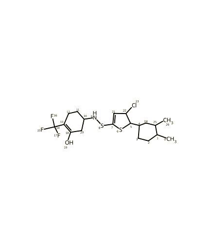 CC1CCC(C2SC(SNC3CCC(C(F)(F)F)=C(O)C3)=CC2Cl)CC1C